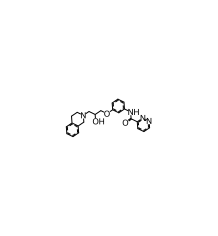 O=C(Nc1cccc(OCC(O)CN2CCc3ccccc3C2)c1)c1cccnn1